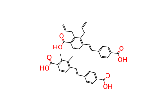 C=CCc1c(C=Cc2ccc(C(=O)O)cc2)ccc(C(=O)O)c1CC=C.Cc1c(C=Cc2ccc(C(=O)O)cc2)ccc(C(=O)O)c1C